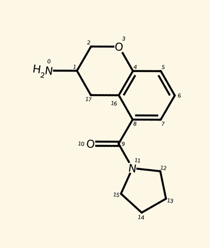 NC1COc2cccc(C(=O)N3CCCC3)c2C1